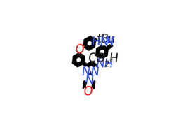 CC(C)(C)c1ccc(Oc2cccc(-c3nc(N4CCOCC4)nc(Nc4ccc5[nH]ncc5c4)c3C(=O)O)c2)cc1